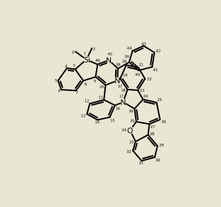 C[Si]1(C)c2ccccc2-c2c(-c3ccccc3-n3c4ccccc4c4ccc5c6ccccc6oc5c43)nc(-c3ccccc3)nc21